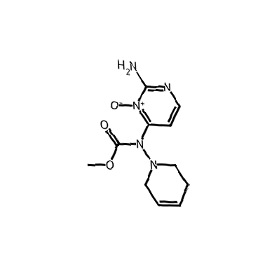 COC(=O)N(c1ccnc(N)[n+]1[O-])N1CC=CCC1